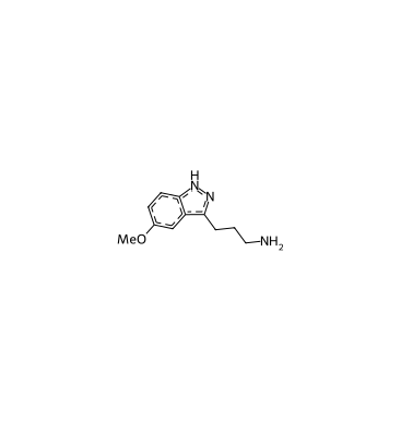 COc1ccc2[nH]nc(CCCN)c2c1